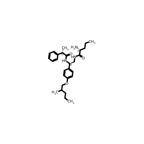 CCCC(C)COc1ccc([C@H](CNC(=O)[C@H](N)CCC)NC(=O)[C@@H](C)c2ccccc2)cc1